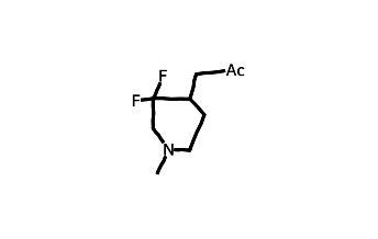 CC(=O)CC1CCN(C)CC1(F)F